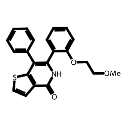 COCCOc1ccccc1-c1[nH]c(=O)c2ccsc2c1-c1ccccc1